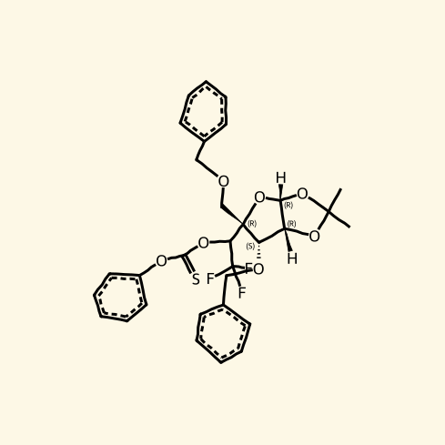 CC1(C)O[C@H]2O[C@@](COCc3ccccc3)(C(OC(=S)Oc3ccccc3)C(F)(F)F)[C@@H](OCc3ccccc3)[C@H]2O1